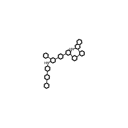 c1ccc(-c2ccc(-c3ccc(Nc4ccc(-c5ccc(-c6ccc7c(c6)-c6cccc(c6)-c6ccccc6-c6cc8ccccc8cc6N7)cc5)cc4-c4ccccc4)cc3)cc2)cc1